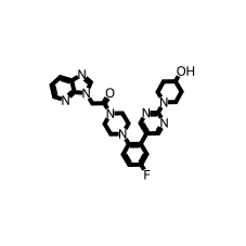 O=C(Cn1cnc2cccnc21)N1CCN(c2ccc(F)cc2-c2cnc(N3CCC(O)CC3)nc2)CC1